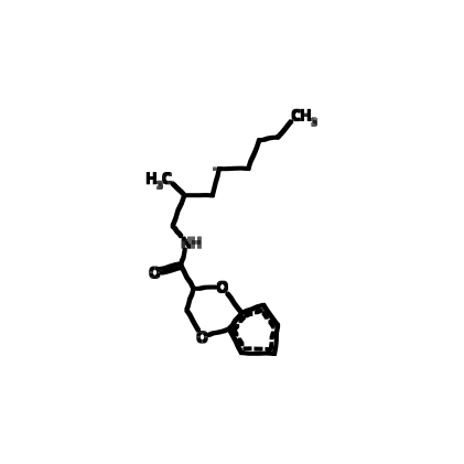 CCCC[CH]CC(C)CNC(=O)C1COc2ccccc2O1